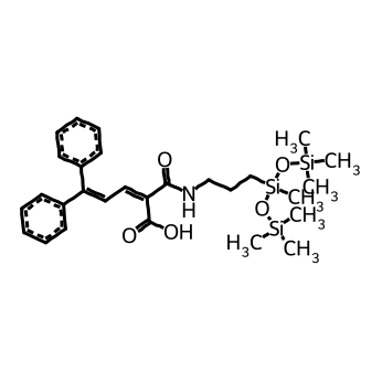 C[Si](C)(C)O[Si](C)(CCCNC(=O)/C(=C/C=C(c1ccccc1)c1ccccc1)C(=O)O)O[Si](C)(C)C